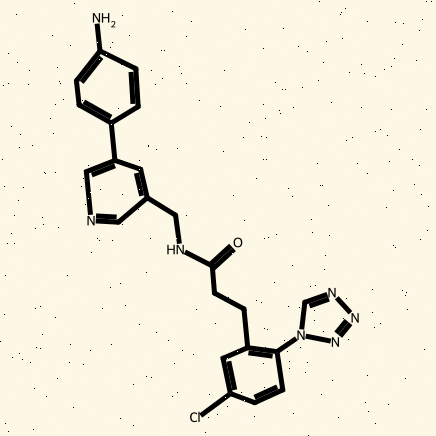 Nc1ccc(-c2cncc(CNC(=O)CCc3cc(Cl)ccc3-n3cnnn3)c2)cc1